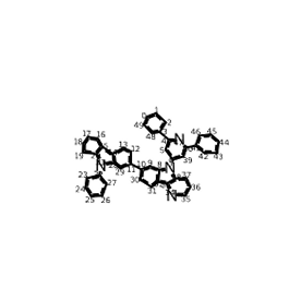 c1ccc(-c2cc(-n3c4cc(-c5ccc6c7ccccc7n(-c7ccccc7)c6c5)ccc4c4ncccc43)cc(-c3ccccc3)n2)cc1